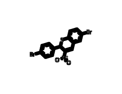 O=[N+]([O-])C1=Cc2cc(Br)ccc2SC1c1ccc(Br)cc1